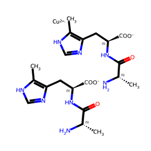 Cc1[nH]cnc1C[C@H](NC(=O)[C@H](C)N)C(=O)[O-].Cc1[nH]cnc1C[C@H](NC(=O)[C@H](C)N)C(=O)[O-].[Cu+2]